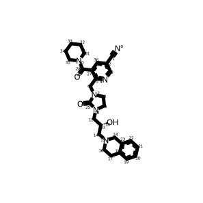 N#Cc1cnc(CN2CCN(C[C@H](O)CN3CCc4ccccc4C3)C2=O)c(C(=O)N2CCCCC2)c1